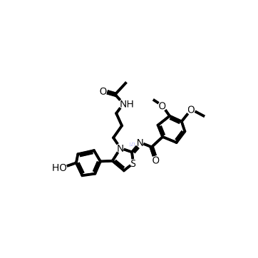 COc1ccc(C(=O)/N=c2\scc(-c3ccc(O)cc3)n2CCCNC(C)=O)cc1OC